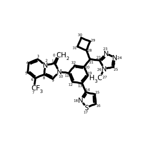 C=C1N2C=CC=C(C(F)(F)F)C2=CN1c1cc(-c2ccsn2)cc(C(c2nncn2C)C2CCC2)c1